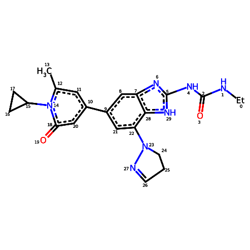 CCNC(=O)Nc1nc2cc(-c3cc(C)n(C4CC4)c(=O)c3)cc(N3CCC=N3)c2[nH]1